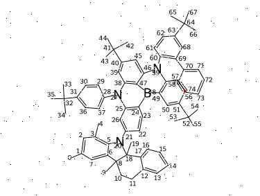 Cc1cc(C)c2c(c1)C1(C)CCc3ccccc3C1(C)N2c1ccc2c(c1)N(c1ccc(C(C)(C)C)cc1)c1cc(C(C)(C)C)cc3c1B2c1cc(C(C)(C)C)ccc1N3c1ccc(C(C)(C)C)cc1-c1ccccc1